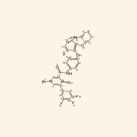 CC(C)n1cc(C(=O)Nc2ccc(Oc3ccnc4c3Oc3ccccc3N4)c(F)c2)c(=O)c(-c2cc(F)c(F)c(F)c2)c1